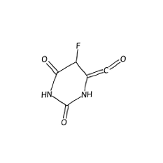 O=C=C1NC(=O)NC(=O)C1F